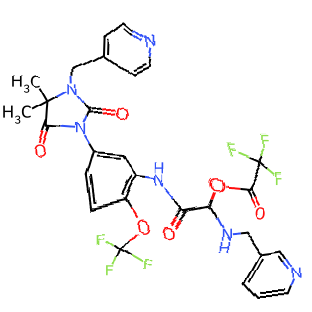 CC1(C)C(=O)N(c2ccc(OC(F)(F)F)c(NC(=O)C(NCc3cccnc3)OC(=O)C(F)(F)F)c2)C(=O)N1Cc1ccncc1